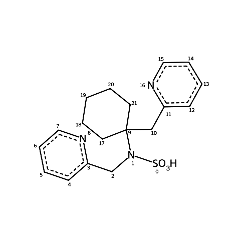 O=S(=O)(O)N(Cc1ccccn1)C1(Cc2ccccn2)CCCCC1